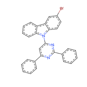 Brc1ccc2c(c1)c1ccccc1n2-c1cc(-c2ccccc2)nc(-c2ccccc2)n1